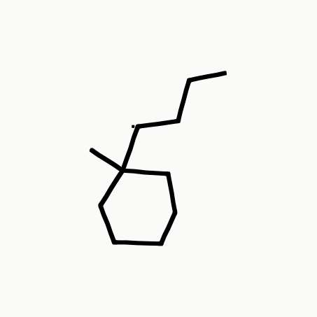 CCC[CH]C1(C)CCCCC1